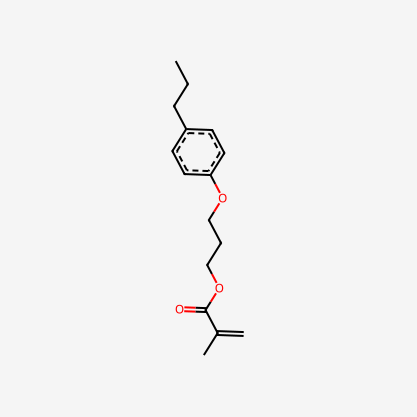 C=C(C)C(=O)OCCCOc1ccc(CCC)cc1